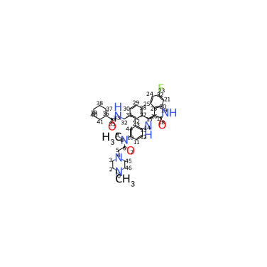 CN1CCN(CC(=O)N(C)c2ccc(N/C(=C3\C(=O)Nc4cc(F)ccc43)c3cccc(CNC(=O)C4CCCCC4)c3)cc2)CC1